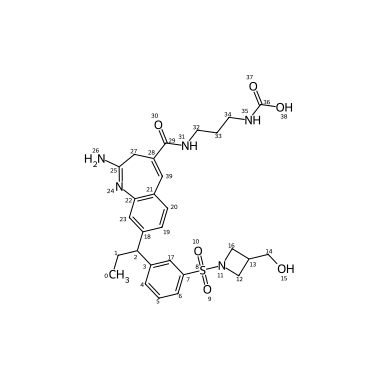 CCC(c1cccc(S(=O)(=O)N2CC(CO)C2)c1)c1ccc2c(c1)N=C(N)CC(C(=O)NCCCNC(=O)O)=C2